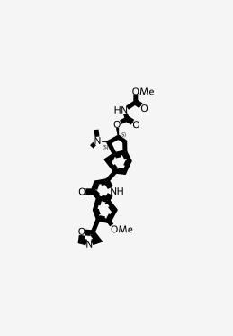 COC(=O)NC(=O)O[C@H]1Cc2ccc(-c3cc(=O)c4cc(-c5cnco5)c(OC)cc4[nH]3)cc2[C@@H]1N(C)C